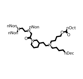 CCCCCCCCCCCCCCN(CCCCOC(=O)CCCCCCCC)CCC1CCCN(C(=O)CN(CCCCCCCCC)CCN(CCCCCCCCC)CCCCCCCCC)C1